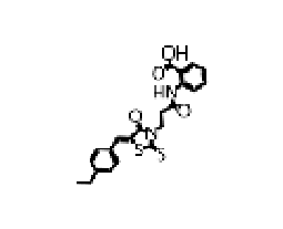 CCc1ccc(/C=C2\SC(=S)N(CCC(=O)Nc3ccccc3C(=O)O)C2=O)cc1